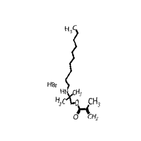 Br.C=C(C)C(=O)OCC(C)(C)NCCCCCCCCCC